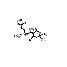 CC(N[C@@H](CCC(=O)OC(C)(C)C)C(=O)O)=C1C(=O)CC(C)(C)CC1=O